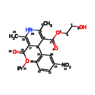 CC1=C(C(=O)OCCO)C(c2cccc([N+](=O)[O-])c2)C(C(=O)OC(C)C)=C(C)N1